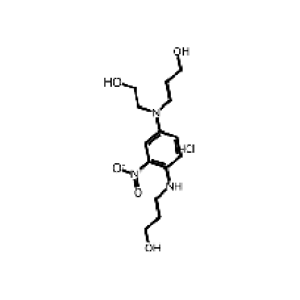 Cl.O=[N+]([O-])c1cc(N(CCO)CCCO)ccc1NCCCO